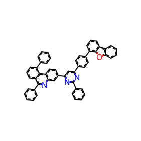 c1ccc(-c2nc(-c3ccc(-c4cccc5c4oc4ccccc45)cc3)cc(-c3ccc4c(c3)nc(-c3ccccc3)c3cccc(-c5ccccc5)c34)n2)cc1